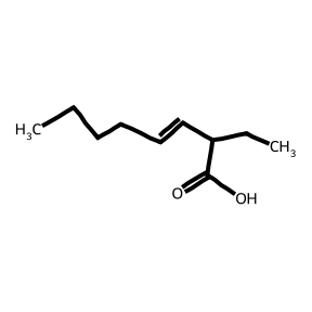 CCCCC=CC(CC)C(=O)O